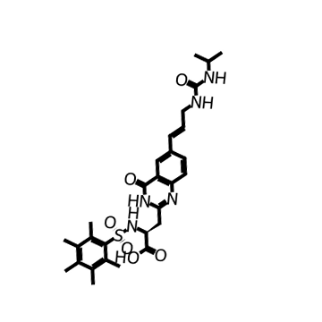 Cc1c(C)c(C)c(S(=O)(=O)N[C@@H](Cc2nc3ccc(/C=C/CNC(=O)NC(C)C)cc3c(=O)[nH]2)C(=O)O)c(C)c1C